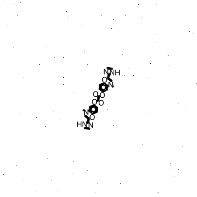 CN1CC(C2=NCCN2)Oc2ccc(OC(=O)C(=O)Oc3ccc4c(c3)N(C)CC(C3=NCCN3)O4)cc21